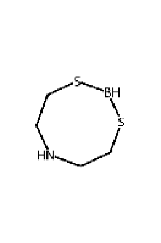 B1SCCNCCS1